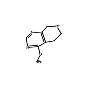 CCCOc1ncnc2c1CCNC2